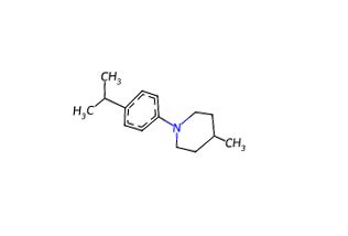 CC1CCN(c2ccc(C(C)C)cc2)CC1